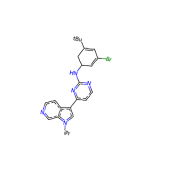 CC(C)n1cc(-c2ccnc(NC3C=C(Br)C=C(C(C)(C)C)C3)n2)c2ccncc21